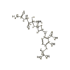 C[C@@H](Cc1ccc(OC2CN(CC(C)(N)C(=O)NCC(N)=O)C2)c(C(=O)O)c1O)B(O)O